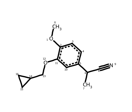 COc1ccc(C(C)C#N)cc1OCC1CC1